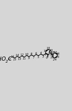 Cc1c(CCCCCCCCCCCCCCC(=O)O)ccc[n+]1-c1ccccc1